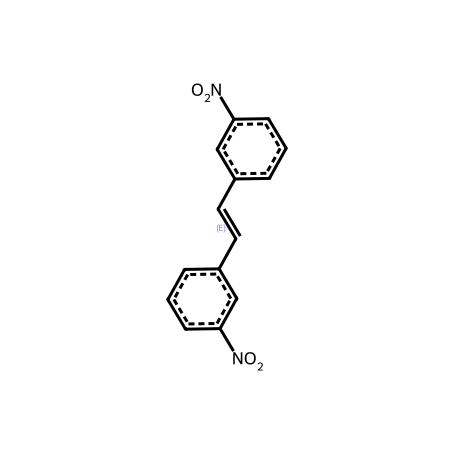 O=[N+]([O-])c1cccc(/C=C/c2cccc([N+](=O)[O-])c2)c1